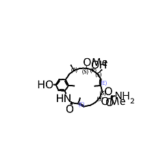 CO[C@H]1C[C@H](C)Cc2cc(O)cc(c2C)NC(=O)/C(C)=C/CC[C@H](OC)[C@@H](OC(N)=O)/C(C)=C/[C@H](C)[C@H]1O